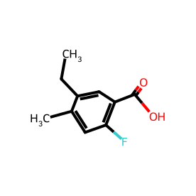 CCc1cc(C(=O)O)c(F)cc1C